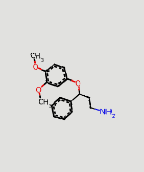 COc1ccc(OC(CCN)c2ccccc2)cc1OC